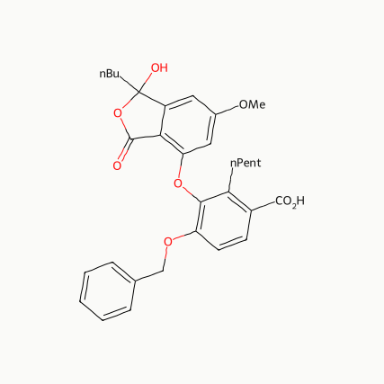 CCCCCc1c(C(=O)O)ccc(OCc2ccccc2)c1Oc1cc(OC)cc2c1C(=O)OC2(O)CCCC